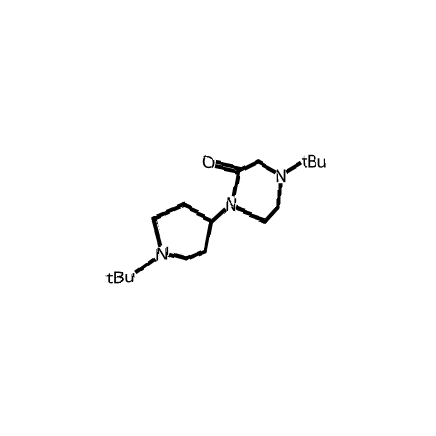 CC(C)(C)N1CCC(N2CCN(C(C)(C)C)CC2=O)CC1